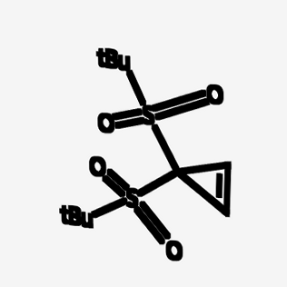 CC(C)(C)S(=O)(=O)C1(S(=O)(=O)C(C)(C)C)C=C1